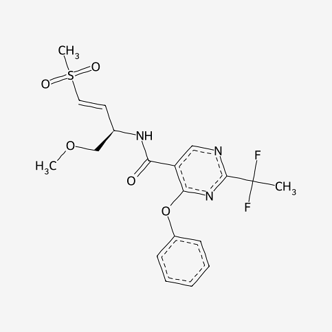 COC[C@@H](/C=C/S(C)(=O)=O)NC(=O)c1cnc(C(C)(F)F)nc1Oc1ccccc1